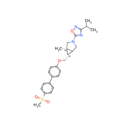 CC(C)c1noc(N2CC3[C@H](COc4ccc(-c5ccc(S(C)(=O)=O)cc5)cc4)[C@@]3(C)C2)n1